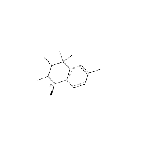 Cc1ccc2c(c1)C(C)(C)C(C)C(C)[C@@H]2C